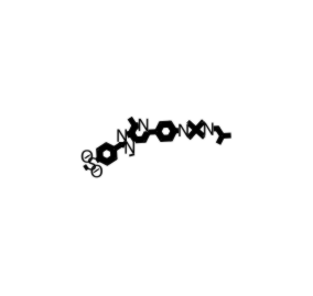 Cc1nc(-c2ccc(N3CC4(CN(CC(C)C)C4)C3)cc2)cc2c1nc(-c1ccc(S(C)(=O)=O)cc1)n2C